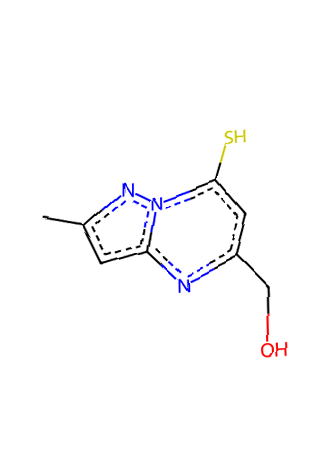 Cc1cc2nc(CO)cc(S)n2n1